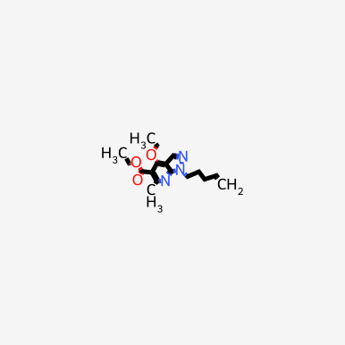 C=CCCCn1ncc2c(OCC)c(C(=O)OCC)c(C)nc21